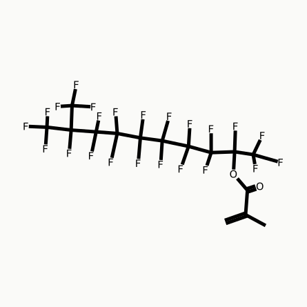 C=C(C)C(=O)OC(F)(C(F)(F)F)C(F)(F)C(F)(F)C(F)(F)C(F)(F)C(F)(F)C(F)(F)C(F)(C(F)(F)F)C(F)(F)F